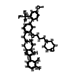 COc1ccc(-c2ccc(CN3Cc4nc(-c5cccc(F)c5F)[nH]c4C=N3)c(OCCCN3CCOCC3)c2)c(C(F)(F)F)c1